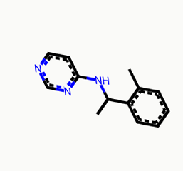 Cc1ccccc1C(C)Nc1ccncn1